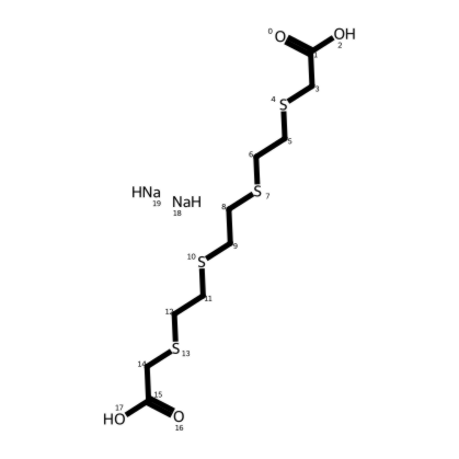 O=C(O)CSCCSCCSCCSCC(=O)O.[NaH].[NaH]